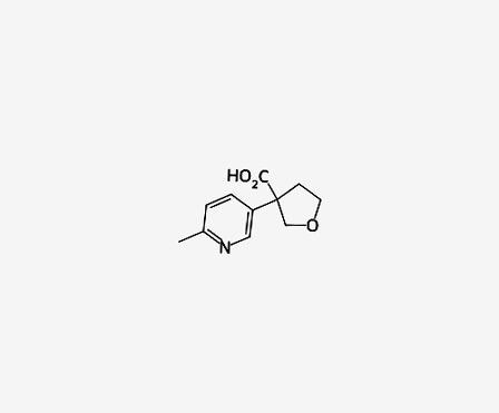 Cc1ccc(C2(C(=O)O)CCOC2)cn1